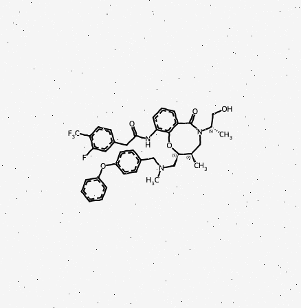 C[C@@H]1CN([C@@H](C)CO)C(=O)c2cccc(NC(=O)Cc3ccc(C(F)(F)F)c(F)c3)c2O[C@@H]1CN(C)Cc1ccc(Oc2ccccc2)cc1